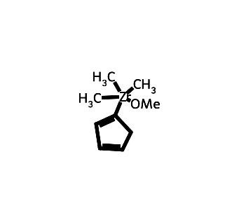 C[O][Zr]([CH3])([CH3])([CH3])[C]1=CC=CC1